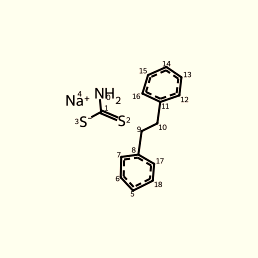 NC(=S)[S-].[Na+].c1ccc(CCc2ccccc2)cc1